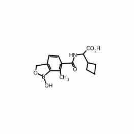 Cc1c(C(=O)NC(C(=O)O)C2CCC2)ccc2c1B(O)OC2